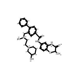 CC1Oc2ccc(NC(=O)c3ccc(-c4ccccc4)c(CN(CCN4CCCC(O)C4)C(C)C)c3)cc2NC1=O